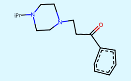 CC(C)N1CCN(CCC(=O)c2ccccc2)CC1